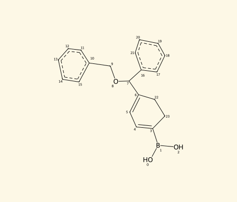 OB(O)C1=CC=C(C(OCc2ccccc2)c2ccccc2)CC1